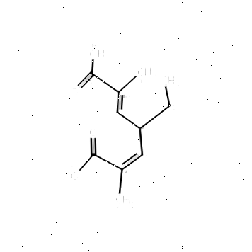 CCC(C=C(C)C(=O)O)C=C(C)C(=O)O